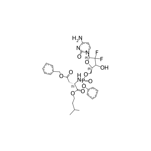 CC(C)CCOC(=O)[C@H](CC(=O)OCc1ccccc1)NP(=O)(OC[C@H]1O[C@@H](n2ccc(N)nc2=O)C(F)(F)C1O)Oc1ccccc1